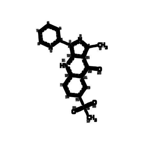 Cc1nn(-c2ccccn2)c2[nH]c3ccc(S(C)(=O)=O)cc3c(=O)c12